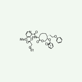 CCOCC(=O)Oc1c(OC)ccnc1C(=O)N[C@H]1CCC[C@H](CCOc2ccccc2)[C@@H](Oc2ccccc2)[C@H](C)OC1=O